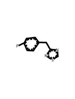 Fc1ccc(Cc2ncsn2)cc1